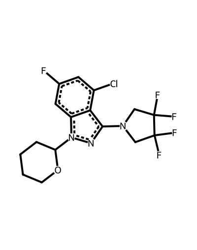 Fc1cc(Cl)c2c(N3CC(F)(F)C(F)(F)C3)nn(C3CCCCO3)c2c1